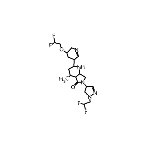 CC1CC(C2C=NCC(OCC(F)F)C2)NC2CN(C3C=NN(CC(F)F)C3)C(=O)C12